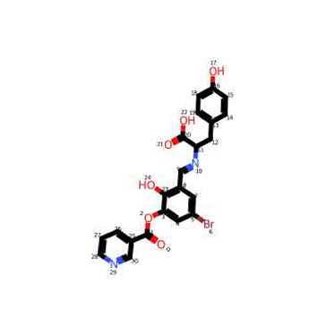 O=C(Oc1cc(Br)cc(C=NC(Cc2ccc(O)cc2)C(=O)O)c1O)c1cccnc1